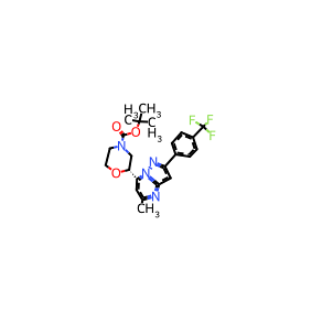 Cc1cc([C@H]2CN(C(=O)OC(C)(C)C)CCO2)n2nc(-c3ccc(C(F)(F)F)cc3)cc2n1